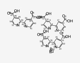 O=C(O)c1ccnc(-c2cc(C(=O)O)ccn2)c1.O=C(O)c1ccnc(-c2cc(C(=O)O)ccn2)c1.O=C(O)c1ccnc(-c2cc(C(=O)O)ccn2)c1.[Ru].[Ru]